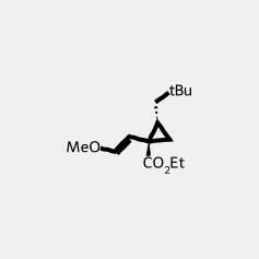 CCOC(=O)[C@]1(C=COC)C[C@H]1CC(C)(C)C